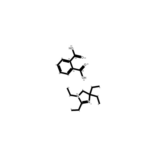 CCC1=NC(CC)(CC)CN1CC.O=C(O)c1ccccc1C(=O)O